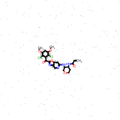 C=CC(=O)NC1CCOCC1Nc1cc2oc(C(=O)c3c(Cl)c(OC)cc(OC)c3Cl)nc2cn1